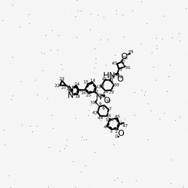 COc1ccc([C@H]2CC[C@H](CN(c3cccc(-c4cnn(C5CC5)c4)c3)C(=O)[C@H]3CC[C@H](NC(=O)C4CC(OC)C4)CC3)CC2)cc1C